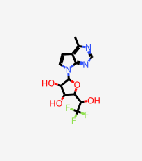 Cc1ncnc2c1ccn2C1OC(C(O)C(F)(F)F)C(O)C1O